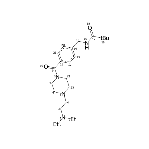 CCN(CC)CCN1CCN(C(=O)c2ccc(CNC(=O)C(C)(C)C)cc2)CC1